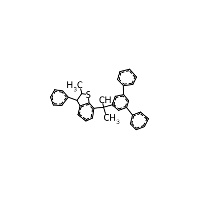 CC1Sc2c(cccc2C(C)(C)c2cc(-c3ccccc3)cc(-c3ccccc3)c2)C1c1ccccc1